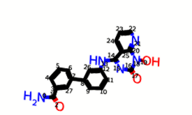 NC(=O)c1cccc(-c2cccc(Nc3nc(=O)n(O)c4ncccc34)c2)c1